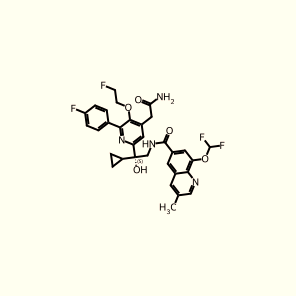 Cc1cnc2c(OC(F)F)cc(C(=O)NC[C@](O)(c3cc(CC(N)=O)c(OCCF)c(-c4ccc(F)cc4)n3)C3CC3)cc2c1